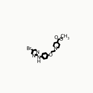 COC(=O)C1CCN(CCOc2ccc(Nc3ncc(Br)cn3)cc2)CC1